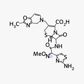 CO/N=C(\C(=O)NC1C(=O)N2C(C(=O)O)=C(CN3C=Cc4oc(C)nc4C3)CS[C@H]12)c1csc(N)n1